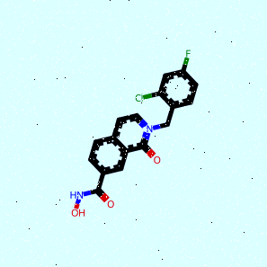 O=C(NO)c1ccc2ccn(Cc3ccc(F)cc3Cl)c(=O)c2c1